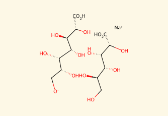 O=C(O)[C@H](O)[C@@H](O)[C@H](O)[C@H](O)CO.O=C(O)[C@H](O)[C@H](O)[C@H](O)[C@@H](O)[C@H](O)C[O-].[Na+]